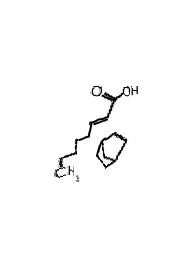 C1CC2CCC1C2.CCCCCC=CC(=O)O